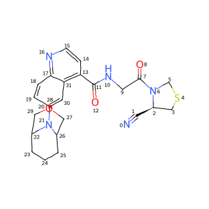 N#C[C@@H]1CSCN1C(=O)CNC(=O)c1ccnc2ccc(N3C4CCCC3COC4)cc12